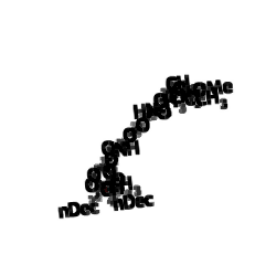 CCCCCCCCCCCCCC1(C)C(=O)OC[C@H](COC(=O)NCCOCCOCCNC(=O)OCCC(C)(C)OCCC(C)(C)OC)OC(=O)C1(C)CCCCCCCCCCCCC